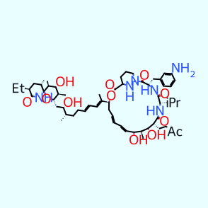 CC[C@H]1C[C@H](C)[C@@]2(NC1=O)O[C@@H](C[C@H](O)[C@@H](C)CC/C=C/C=C(\C)[C@@H]1C/C=C/C=C/[C@H](O)[C@H](C)[C@@H](O)[C@@H](CCC(C)=O)C(=O)N[C@@H](C(C)C)C(=O)N[C@@H](Cc3cccc(N)c3)C(=O)N3CCCC(N3)C(=O)O1)[C@H](C)[C@H](O)[C@@H]2C